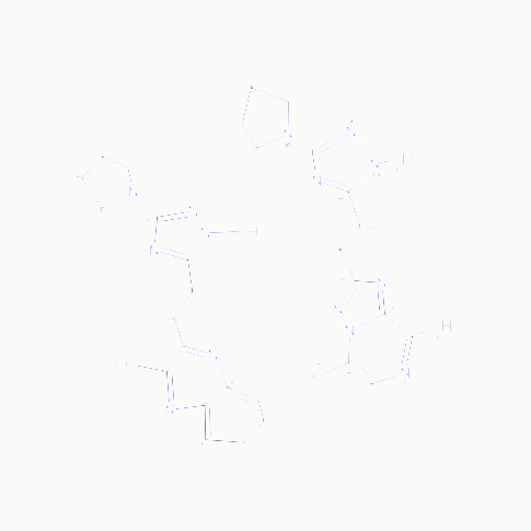 Cc1nc2ccccc2nc1C=Cc1nc(N2CCCC2)nn1C.Cc1ncc(C)n2nc(CCc3nc(N4CCCC4)nn3C)nc12